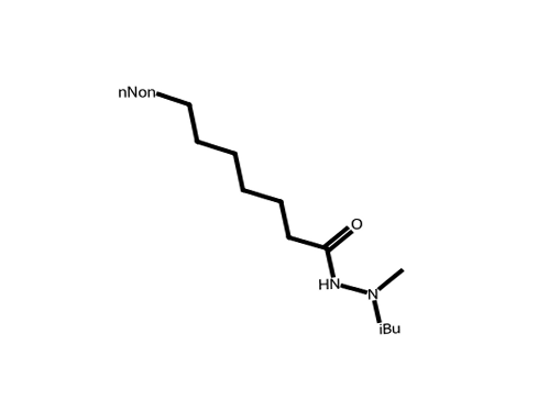 CCCCCCCCCCCCCCCC(=O)NN(C)C(C)CC